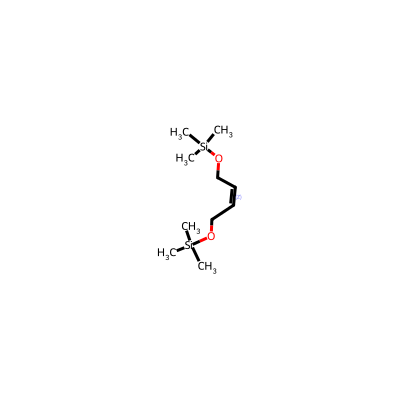 C[Si](C)(C)OC/C=C\CO[Si](C)(C)C